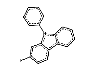 Ic1ccc2c3ccccc3n(-c3ccccc3)c2c1